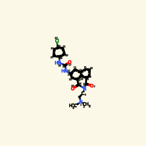 CN(C)CCN1C(=O)c2cccc3cc(NC(=O)Nc4ccc(Cl)cc4)cc(c23)C1=O